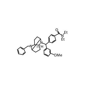 CCN(CC)C(=O)c1ccc(C(c2cccc(OC)c2)N2C3CCC4[C@@H]2CCC3N4Cc2ccccc2)cc1